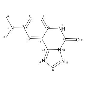 CN(C)c1ccc2[nH]c(=O)n3ncnc3c2c1